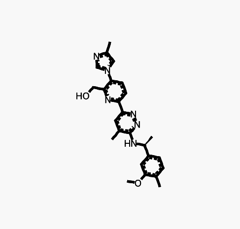 COc1cc([C@H](C)Nc2nnc(-c3ccc(-n4cnc(C)c4)c(CO)n3)cc2C)ccc1C